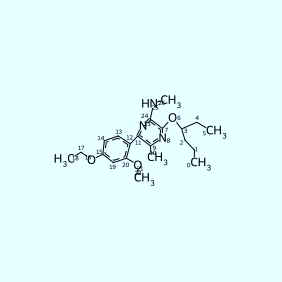 CCCC(CC)Oc1nc(C)c(-c2ccc(OCC)cc2OC)nc1NC